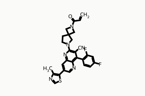 C=CC(=O)N1CC2(CCN(c3nc4cc(-c5scnc5C)cnc4c(-c4ccc(F)cc4F)c3C#N)C2)C1